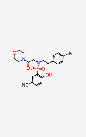 CC(C)c1ccc(CCN(CC(=O)N2CCOCC2)S(=O)(=O)c2cc(C#N)ccc2O)cc1